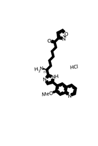 COc1cc2ncccc2cc1-c1cnc([C@@H](N)CCCCCC(=O)c2ccon2)[nH]1.Cl